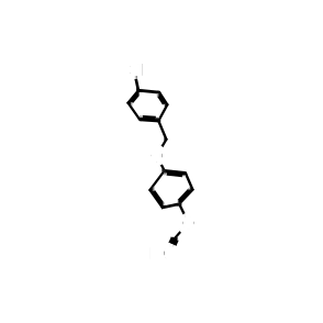 C#COc1ccc(OCc2ccc(C(F)(F)F)cc2)cc1